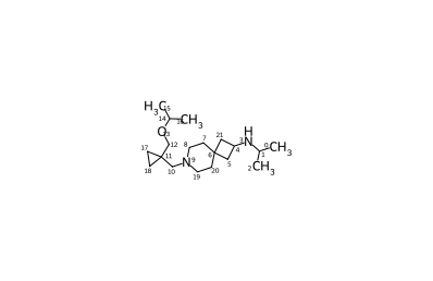 CC(C)NC1CC2(CCN(CC3(COC(C)C)CC3)CC2)C1